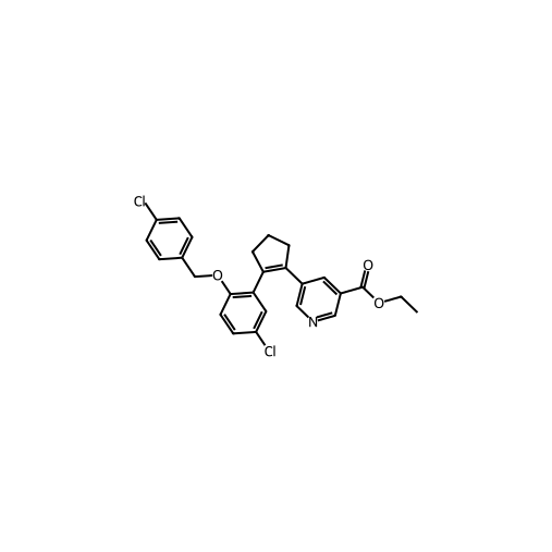 CCOC(=O)c1cncc(C2=C(c3cc(Cl)ccc3OCc3ccc(Cl)cc3)CCC2)c1